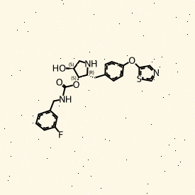 O=C(NCc1cccc(F)c1)O[C@@H]1[C@@H](O)CN[C@@H]1Cc1ccc(Oc2cncs2)cc1